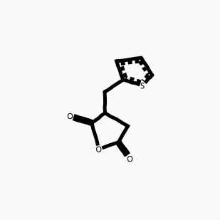 O=C1CC(Cc2cccs2)C(=O)O1